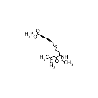 CCNC(CCSCCC#CC#CC(=O)OP)C(=O)CC(C)C